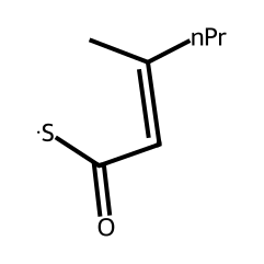 CCCC(C)=CC(=O)[S]